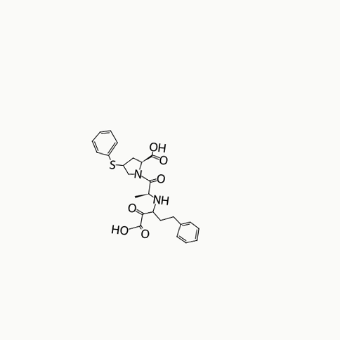 C[C@H](NC(CCc1ccccc1)C(=O)C(=O)O)C(=O)N1CC(Sc2ccccc2)C[C@H]1C(=O)O